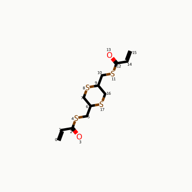 C=CC(=O)SCC1CSC(CSC(=O)C=C)CS1